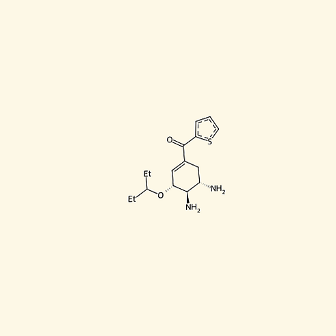 CCC(CC)O[C@@H]1C=C(C(=O)c2cccs2)C[C@H](N)[C@H]1N